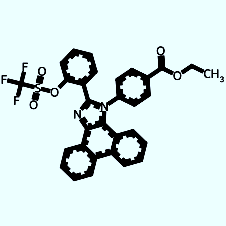 CCOC(=O)c1ccc(-n2c(-c3ccccc3OS(=O)(=O)C(F)(F)F)nc3c4ccccc4c4ccccc4c32)cc1